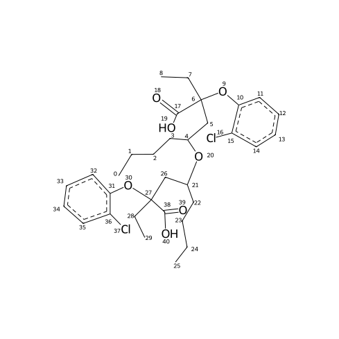 CCCCC(CC(CC)(Oc1ccccc1Cl)C(=O)O)OC(CCCC)CC(CC)(Oc1ccccc1Cl)C(=O)O